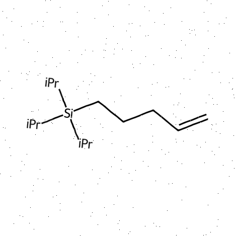 C=CCCC[Si](C(C)C)(C(C)C)C(C)C